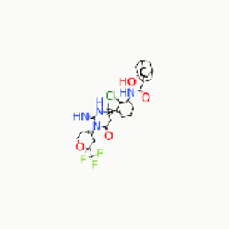 C[C@@]1(c2cccc(NC(=O)C34CC5CC(CC3(O)C5)C4)c2Cl)CC(=O)N([C@H]2CCO[C@@H](C(F)(F)F)C2)C(=N)N1